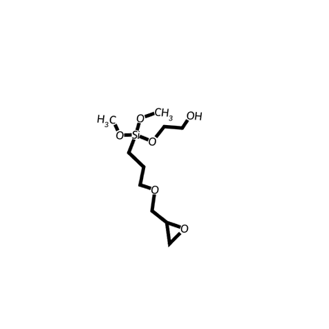 CO[Si](CCCOCC1CO1)(OC)OCCO